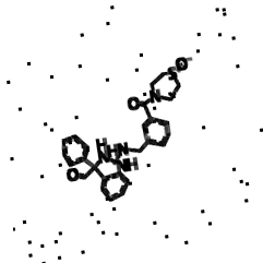 N=C(NCc1cccc(C(=O)N2CC[S+]([O-])CC2)c1)NC(C=O)(c1ccccc1)c1ccccc1